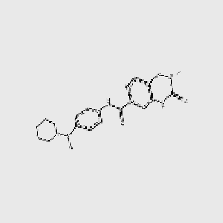 C[C@H]1Sc2ccc(C(=O)Nc3ccc([S+]([O-])N4CCCCC4)cc3)cc2NC1=O